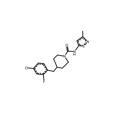 Cc1cc(NC(=O)N2CCC(Cc3ccc(Cl)cc3F)CC2)sn1